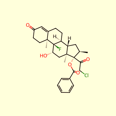 C[C@@H]1C[C@H]2[C@@H]3CCC4=CC(=O)CC[C@]4(C)[C@@]3(F)[C@@H](O)C[C@]2(C)[C@]1(OC(=O)c1ccccc1)C(=O)CCl